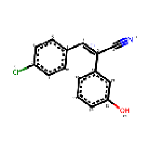 N#C/C(=C/c1ccc(Cl)cc1)c1cccc(O)c1